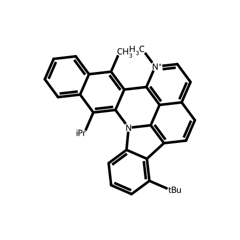 Cc1c2ccccc2c(C(C)C)c2c1c1c3c(ccc4c5c(C(C)(C)C)cccc5n2c43)cc[n+]1C